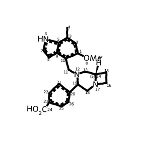 COc1cc(C)c2[nH]ccc2c1CN1C[C@@H]2CCN2CC1c1ccc(C(=O)O)cc1